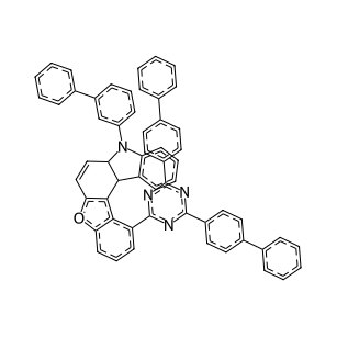 C1=CC2C(c3ccccc3N2c2cccc(-c3ccccc3)c2)c2c1oc1cccc(-c3nc(-c4ccc(-c5ccccc5)cc4)nc(-c4ccc(-c5ccccc5)cc4)n3)c21